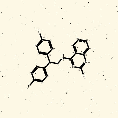 Fc1ccc(C(CNc2nc(Cl)nc3ccccc23)c2ccc(F)cc2)cc1